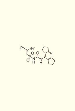 CC(C)N(CS(=O)(=O)NC(=O)Nc1c2c(cc3c1CCC3)CCC2)C(C)C